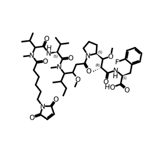 CCC(C)C(C(CC(=O)N1CCC[C@H]1C(OC)[C@@H](C)C(=O)N[C@@H](Cc1ccccc1F)C(=O)O)OC)N(C)C(=O)[C@@H](NC(=O)C(C(C)C)N(C)C(=O)CCCCCN1C(=O)C=CC1=O)C(C)C